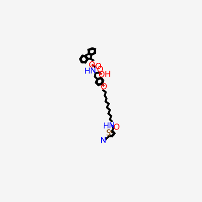 N#Cc1ccc(C(=O)NCCCCCCCCCCCCOc2ccc(CC(NC(=O)OCC3c4ccccc4-c4ccccc43)C(=O)O)cc2)s1